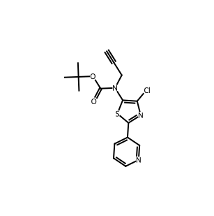 C#CCN(C(=O)OC(C)(C)C)c1sc(-c2cccnc2)nc1Cl